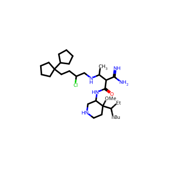 CCCCC(CC)C1(OC)CCNCC1NC(=O)C(C(=N)N)C(C)NCC(Cl)CCC1(C2CCCC2)CCCC1